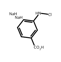 O=C(O)c1cccc(NCl)c1.[NaH].[NaH]